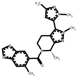 Cc1cc2ncsc2cc1C(=O)N1CCc2c(nn(C)c2-c2cc(C(F)(F)F)nn2C)[C@@H]1C